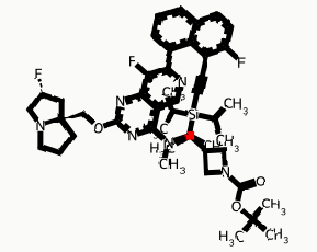 CC(C)[Si](C#Cc1c(F)ccc2cccc(-c3ncc4c(N(C)CC5CN(C(=O)OC(C)(C)C)C5)nc(OC[C@@]56CCCN5C[C@H](F)C6)nc4c3F)c12)(C(C)C)C(C)C